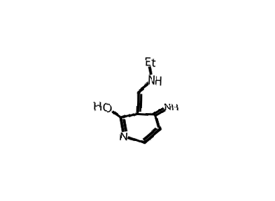 CCN/C=C1\C(=N)C=CN=C1O